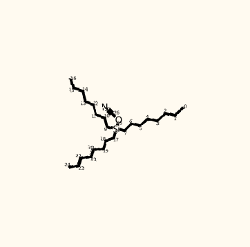 CCCCCCCC[Si](CCCCCCCC)(CCCCCCCC)OC#N